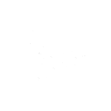 Clc1cc2c(NCc3cccs3)nc(C3CCN(I)CC3)nc2cn1